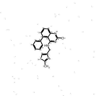 Cc1nc(CNc2nc(Cl)nc3cccc(-c4ccccc4)c23)cs1